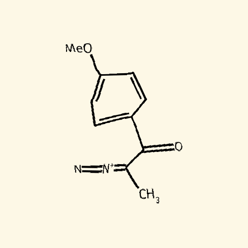 COc1ccc(C(=O)C(C)=[N+]=[N-])cc1